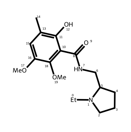 CCN1CCCC1CNC(=O)c1c(O)c(C)cc(OC)c1OC